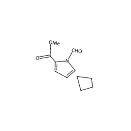 C1CCC1.COC(=O)c1cccn1C=O